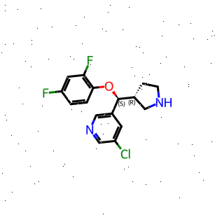 Fc1ccc(O[C@H](c2cncc(Cl)c2)[C@@H]2CCNC2)c(F)c1